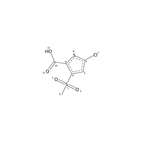 CS(=O)(=O)c1cc(Cl)sc1C(=O)O